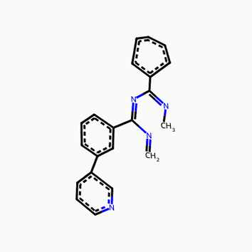 C=N/C(=N\C(=N/C)c1ccccc1)c1cccc(-c2cccnc2)c1